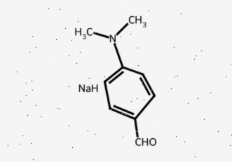 CN(C)c1ccc(C=O)cc1.[NaH]